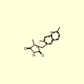 Cc1ccc2cc3c(cc2n1)C[C@]1(C3)C(=O)NC(=O)N1C